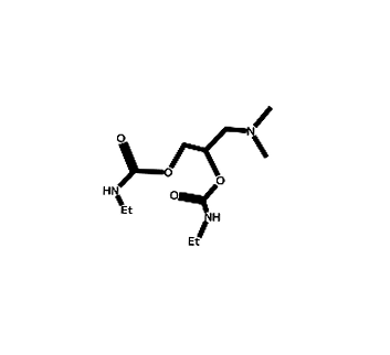 CCNC(=O)OCC(CN(C)C)OC(=O)NCC